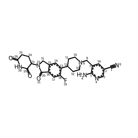 N#Cc1cnc(N)c(CN2CCC(c3cc4c(cc3F)C(=O)N(C3CCC(=O)NC3=O)C4)CC2)c1